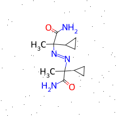 CC(/N=N/C(C)(C(N)=O)C1CC1)(C(N)=O)C1CC1